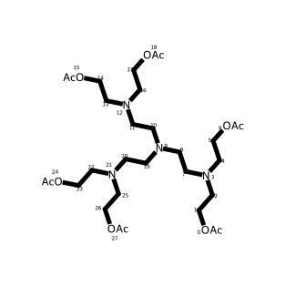 CC(=O)OCCN(CCOC(C)=O)CCN(CCN(CCOC(C)=O)CCOC(C)=O)CCN(CCOC(C)=O)CCOC(C)=O